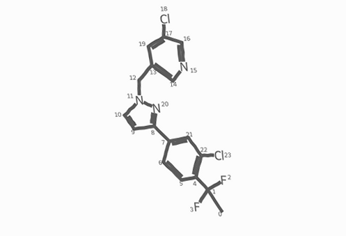 CC(F)(F)c1ccc(-c2ccn(Cc3cncc(Cl)c3)n2)cc1Cl